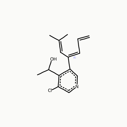 C=C/C=C(\C=C(C)C)c1cncc(Cl)c1C(C)O